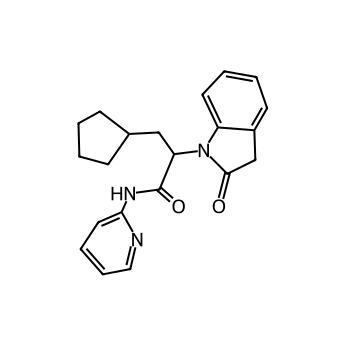 O=C(Nc1ccccn1)C(CC1CCCC1)N1C(=O)Cc2ccccc21